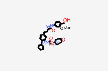 COc1cc(NC(=O)CCCc2ccc(-c3ccccc3)c(NC(=O)OC3CC4C5OC5C(C3)N4C)c2)ccc1CO